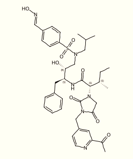 CC[C@H](C)[C@@H](C(=O)N[C@@H](Cc1ccccc1)[C@H](O)CN(CC(C)C)S(=O)(=O)c1ccc(C=NO)cc1)N1CC(=O)N(Cc2ccnc(C(C)=O)c2)C1=O